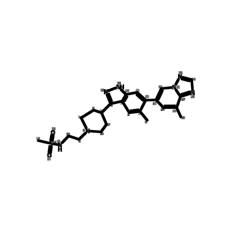 Cc1cc2c(C3CCN(CCNS(C)(=O)=O)CC3)n[nH]c2cc1-c1cc(C)c2ncnn2c1